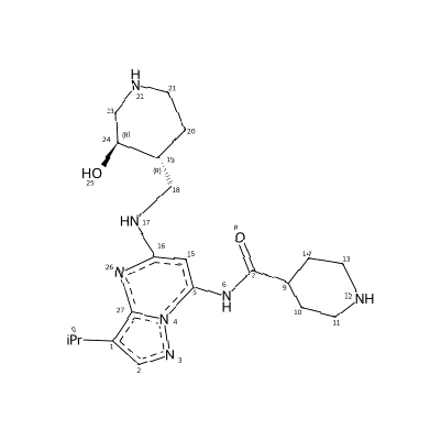 CC(C)c1cnn2c(NC(=O)C3CCNCC3)cc(NC[C@H]3CCNC[C@@H]3O)nc12